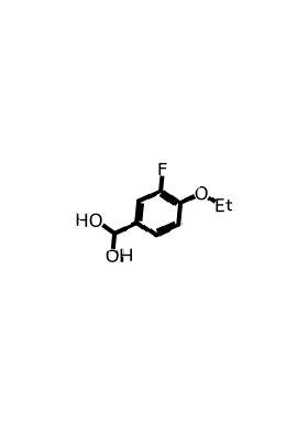 CCOc1ccc(C(O)O)cc1F